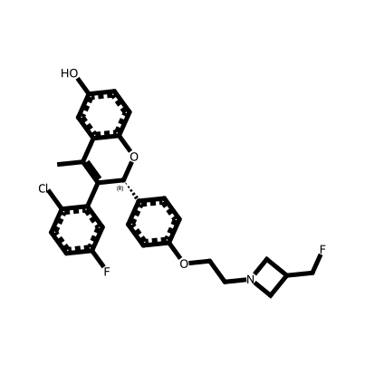 CC1=C(c2cc(F)ccc2Cl)[C@@H](c2ccc(OCCN3CC(CF)C3)cc2)Oc2ccc(O)cc21